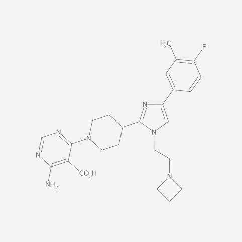 Nc1ncnc(N2CCC(c3nc(-c4ccc(F)c(C(F)(F)F)c4)cn3CCN3CCC3)CC2)c1C(=O)O